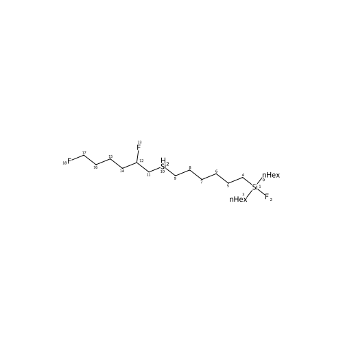 CCCCCC[Si](F)(CCCCCC)CCCCCC[SiH2]CC(F)CCCCF